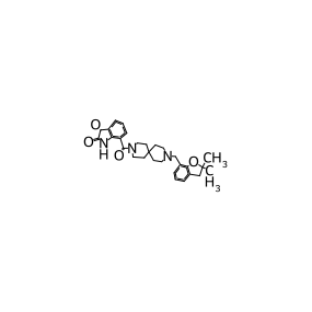 CC1(C)Cc2cccc(CN3CCC4(CC3)CCN(C(=O)c3cccc5c3NC(=O)C5=O)CC4)c2O1